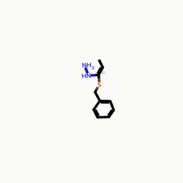 C/C=C(\NN)SCc1ccccc1